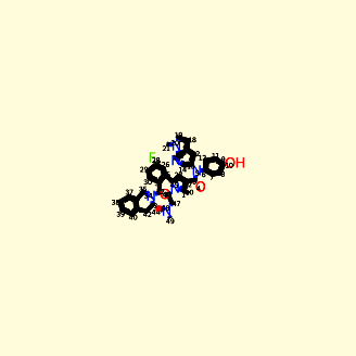 Cc1c(C(=O)N(c2ccc(O)cc2)c2cnc3c(ccn3C)c2)cc(-c2cc(F)ccc2C(=O)N2Cc3ccccc3C[C@H]2C)n1CCN(C)C